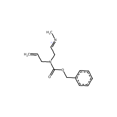 C=CCN(C/C=N/C)C(=O)OCc1ccccc1